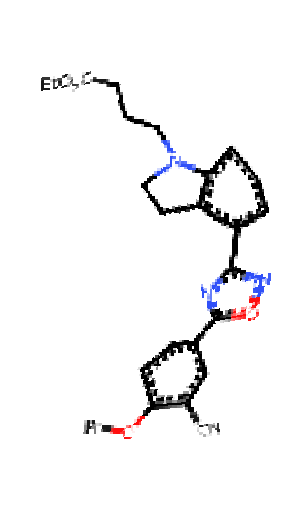 CCOC(=O)CCCN1CCc2c(-c3noc(-c4ccc(OC(C)C)c(C#N)c4)n3)cccc21